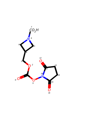 O=C(OCC1CN(C(=O)O)C1)ON1C(=O)CCC1=O